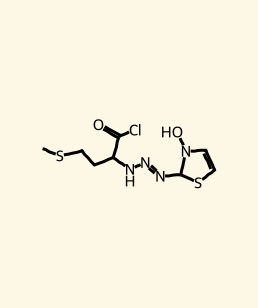 CSCCC(NN=NC1SC=CN1O)C(=O)Cl